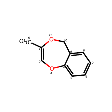 O=CC1=COc2ccccc2CO1